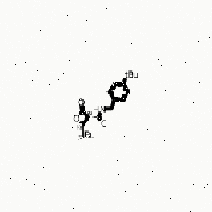 CC[C@H](C)[C@H]1OC(=O)[C@@H]1C(=O)NCc1ccc(C(C)(C)C)cc1